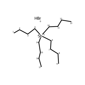 Br.CCC[CH2][Sb]([CH2]CCC)([CH2]CCC)[CH2]CCC